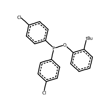 CC(C)(C)c1ccccc1OP(c1ccc(Cl)cc1)c1ccc(Cl)cc1